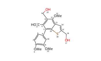 COc1ccc(-c2c(C(=O)O)c(CO)c(OC)c3cc(CO)sc23)cc1OC